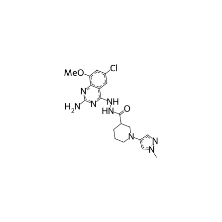 COc1cc(Cl)cc2c(NNC(=O)C3CCCN(c4cnn(C)c4)C3)nc(N)nc12